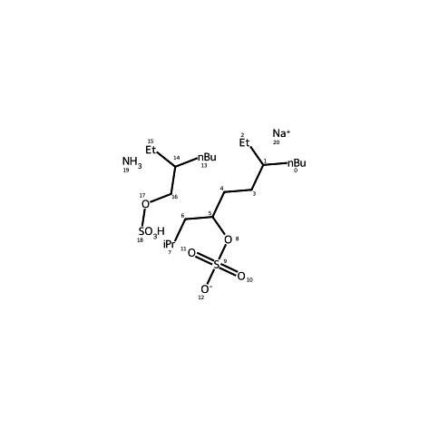 CCCCC(CC)CCC(CC(C)C)OS(=O)(=O)[O-].CCCCC(CC)COS(=O)(=O)O.N.[Na+]